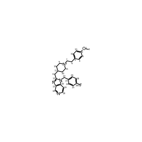 COc1ccc(CCN2CCC(Cc3nc4cnccc4n3Cc3ccc(F)cc3)CC2)cc1